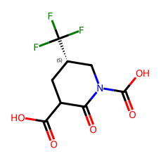 O=C(O)C1C[C@H](C(F)(F)F)CN(C(=O)O)C1=O